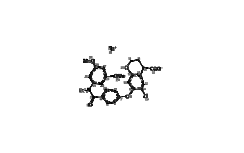 CCN(C(=O)c1ccc(Oc2cc3c(cc2Cl)C(C(=O)[O-])CCO3)cc1)c1cc(OC)cc(OC)c1.[Na+]